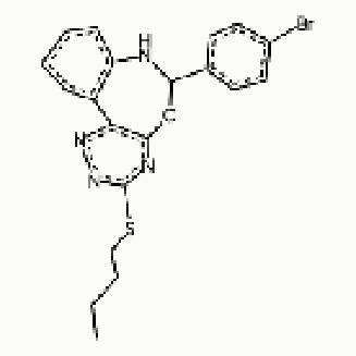 CCCCSc1nnc2c(n1)OC(c1ccc(Br)cc1)Nc1ccccc1-2